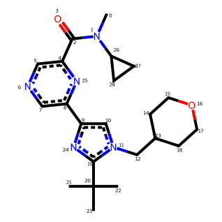 CN(C(=O)c1cncc(-c2cn(CC3CCOCC3)c(C(C)(C)C)n2)n1)C1CC1